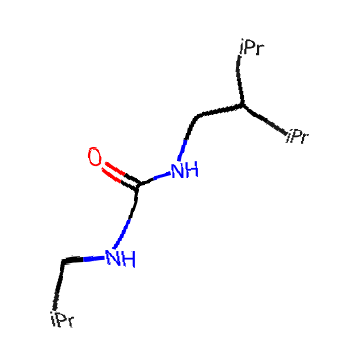 CC(C)CNC(=O)NCC(C(C)C)C(C)C